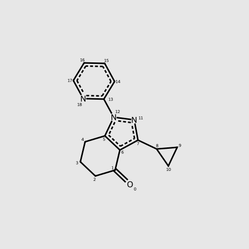 O=C1CCCc2c1c(C1CC1)nn2-c1ccccn1